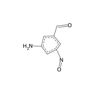 Nc1cc(C=O)cc(N=O)c1